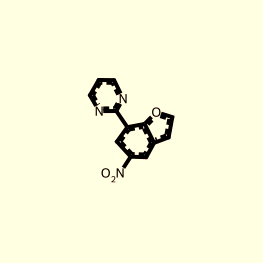 O=[N+]([O-])c1cc(-c2ncccn2)c2occc2c1